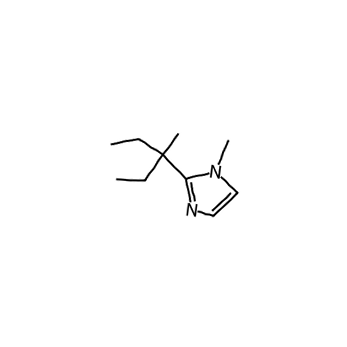 CCC(C)(CC)c1nccn1C